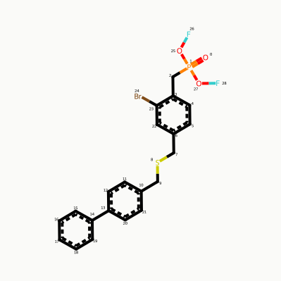 O=P(Cc1ccc(CSCc2ccc(-c3ccccc3)cc2)cc1Br)(OF)OF